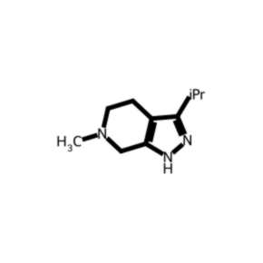 CC(C)c1n[nH]c2c1CCN(C)C2